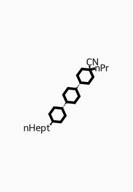 CCCCCCC[C@H]1CC[C@H](C2CCC([C@H]3CC[C@@](C#N)(CCC)CC3)CC2)CC1